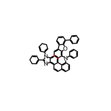 C1=CC(c2nc3c4ccc5cccc(N(c6ccccc6)c6cccc7c6oc6c(-c8ccccc8)cccc67)c5c4ccc3n2C2=CCCC=C2)=CCC1